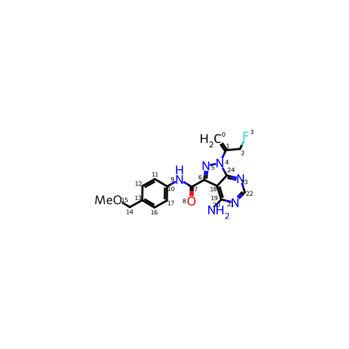 C=C(CF)n1nc(C(=O)Nc2ccc(COC)cc2)c2c(N)ncnc21